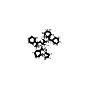 C[C@@](Cc1c[nH]c2ccccc12)(NC(=O)c1ccccc1-n1cccc1)C(=O)NC(c1ccccn1)C1CCCCC1